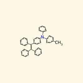 Cc1ccc(N(c2ccccc2)c2ccc(C(=C(c3ccccc3)c3ccccc3)c3ccccc3)cc2)cc1